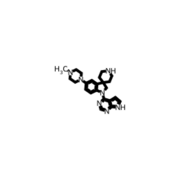 CN1CCN(c2ccc3c(c2)C2(CCNCC2)CN3c2ncnc3[nH]ccc23)CC1